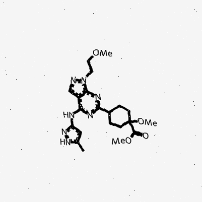 COCCn1ncc2c(Nc3cc(C)[nH]n3)nc(C3CCC(OC)(C(=O)OC)CC3)nc21